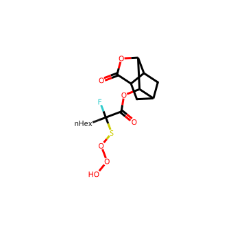 CCCCCCC(F)(SOOO)C(=O)OC1C2CC3C(=O)OC1C3C2